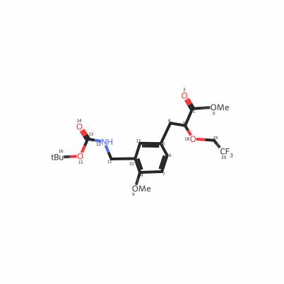 COC(=O)C(Cc1ccc(OC)c(CNC(=O)OC(C)(C)C)c1)OCC(F)(F)F